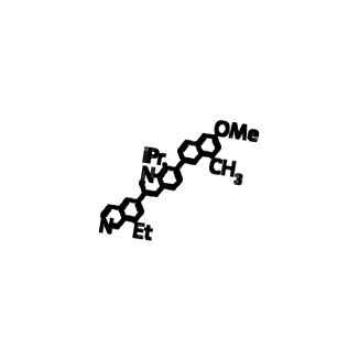 CCc1cc(-c2cnc3c(C(C)C)c(-c4ccc5cc(OC)cc(C)c5c4)ccc3c2)cc2ccncc12